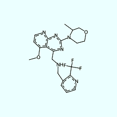 COc1ccnc2nc(N3CCOCC3C)nc(CNCc3cccnc3C(F)(F)F)c12